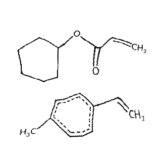 C=CC(=O)OC1CCCCC1.C=Cc1ccc(C)cc1